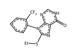 CCSc1nc2c(=O)[nH]cnc2n1-c1ccccc1C(F)(F)F